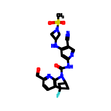 CS(=O)(=O)N1CC(Nc2cc(NC(=O)N3c4nc(C=O)ccc4C4(F)CC3C4)ncc2C#N)C1